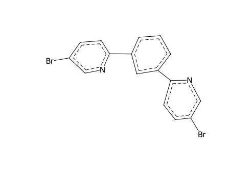 Brc1ccc(-c2cccc(-c3ccc(Br)cn3)c2)nc1